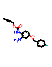 CC#CCOC(=O)Nc1ccc(OCc2ccc(F)cc2)cc1N